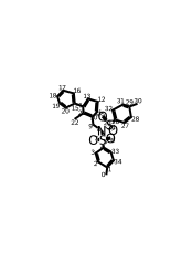 Cc1ccc(S(=O)(=O)N(Cc2cccc(-c3ccccc3)c2C)S(=O)(=O)c2ccc(C)cc2)cc1